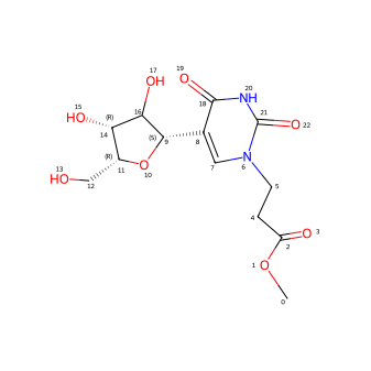 COC(=O)CCn1cc([C@@H]2O[C@H](CO)[C@H](O)C2O)c(=O)[nH]c1=O